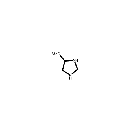 COC1CN[CH]N1